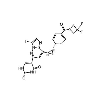 O=C(c1ccc([C@@H]2C[C@H]2c2cc(-c3c[nH]c(=O)[nH]c3=O)nn3c(F)cnc23)cc1)N1CC(F)(F)C1